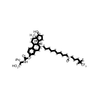 CC(C)[C@H](NC(=O)Oc1ccc2c(c1)C[C@@H](CCCCCCCCC[S+]([O-])CCCC(F)(F)C(F)(F)F)[C@@H]1C2CC[C@]2(C)[C@@H](O)CC[C@@H]12)C(=O)O